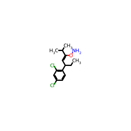 CCC(/C=C(\ON)C(C)C)c1ccc(Cl)cc1Cl